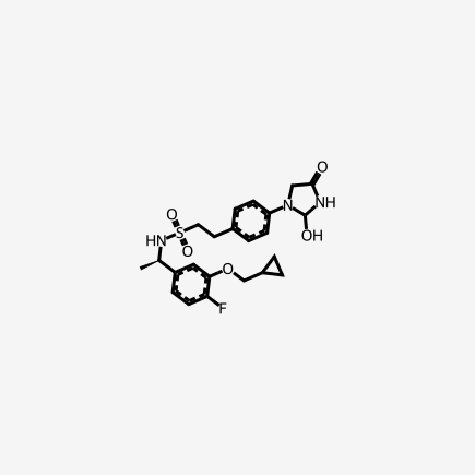 C[C@@H](NS(=O)(=O)CCc1ccc(N2CC(=O)NC2O)cc1)c1ccc(F)c(OCC2CC2)c1